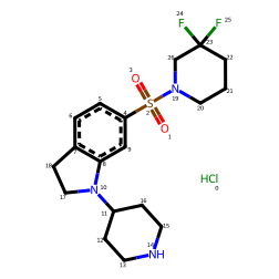 Cl.O=S(=O)(c1ccc2c(c1)N(C1CCNCC1)CC2)N1CCCC(F)(F)C1